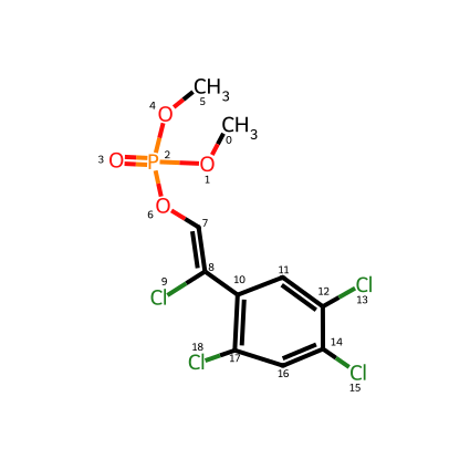 COP(=O)(OC)OC=C(Cl)c1cc(Cl)c(Cl)cc1Cl